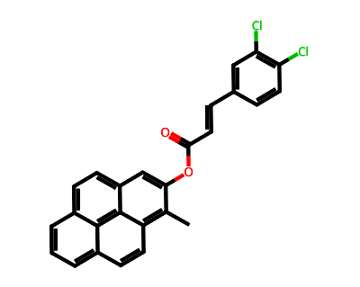 Cc1c(OC(=O)C=Cc2ccc(Cl)c(Cl)c2)cc2ccc3cccc4ccc1c2c34